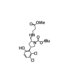 COC(=O)CCNC[C@@H]1C[C@H](c2c(O)ccc(Cl)c2Cl)CN1C(=O)OC(C)(C)C